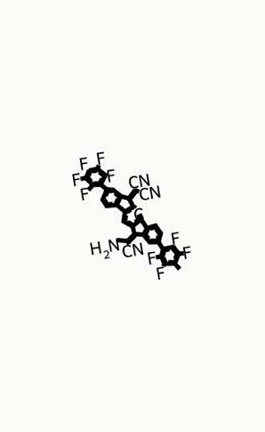 Cc1c(F)c(F)c(-c2ccc3c(c2)/C(=C(\C#N)CN)c2cc4c(cc2-3)C(=C(C#N)C#N)c2cc(-c3c(F)c(F)c(F)c(F)c3F)ccc2-4)c(F)c1F